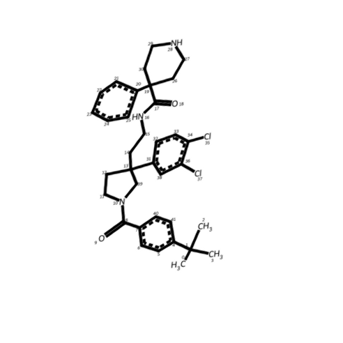 CC(C)(C)c1ccc(C(=O)N2CCC(CCNC(=O)C3(c4ccccc4)CCNCC3)(c3ccc(Cl)c(Cl)c3)C2)cc1